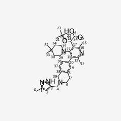 Cc1cc(CN2CCc3cc(-c4c(C)nc(C)c(C(OC(C)(C)C)C(=O)O)c4N4CCC(C)(C)CC4)ccc3C2)[nH]n1